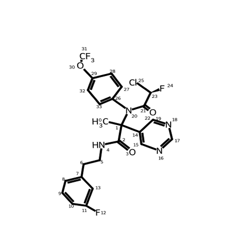 CC(C(=O)NCCc1cccc(F)c1)(c1cncnc1)N(C(=O)[C@H](F)Cl)c1ccc(OC(F)(F)F)cc1